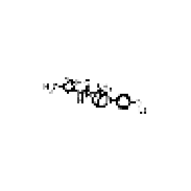 CCOc1ccc(N2CC3CN(C(=O)Nc4cc(C)n[nH]4)CC2C(C)(C)C3)cc1